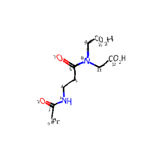 CC(C)C(=O)NCCC(=O)N(CC(=O)O)CC(=O)O